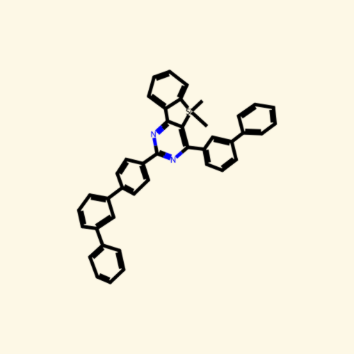 C[Si]1(C)c2ccccc2-c2nc(-c3ccc(-c4cccc(-c5ccccc5)c4)cc3)nc(-c3cccc(-c4ccccc4)c3)c21